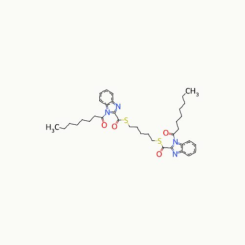 CCCCCCCC(=O)n1c(C(=O)SCCCCCSC(=O)c2nc3ccccc3n2C(=O)CCCCCCC)nc2ccccc21